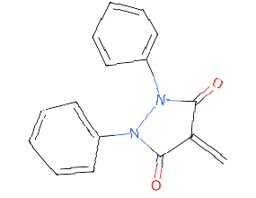 C=C1C(=O)N(c2ccccc2)N(c2ccccc2)C1=O